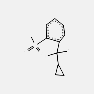 O=S(=O)(Cl)c1ccccc1C(F)(F)C1CC1